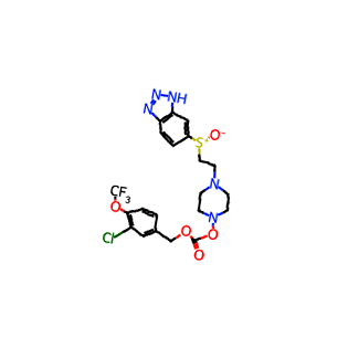 O=C(OCc1ccc(OC(F)(F)F)c(Cl)c1)ON1CCN(CC[S+]([O-])c2ccc3nn[nH]c3c2)CC1